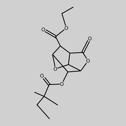 CCOC(=O)C1C2OC3C(OC(=O)C31)C2OC(=O)C(C)(C)CC